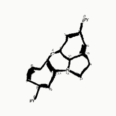 CC(C)C1=CC2Oc3ccc(C(C)C)cc3N3CCC(=C1)C23